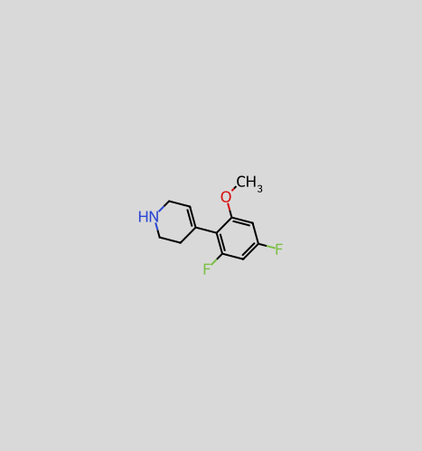 COc1cc(F)cc(F)c1C1=CCNCC1